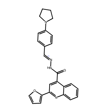 O=C(N/N=C/c1ccc(N2CCCC2)cc1)c1cc(-c2ccco2)nc2ccccc12